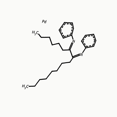 CCCCCCCCC(=Nc1ccccc1)C(CCCCCC)=Nc1ccccc1.[Pd]